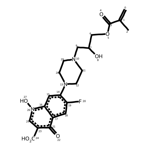 C=C(C)C(=O)OCC(O)CN1CCN(c2cc3c(cc2F)c(=O)c(C(=O)O)cn3O)CC1